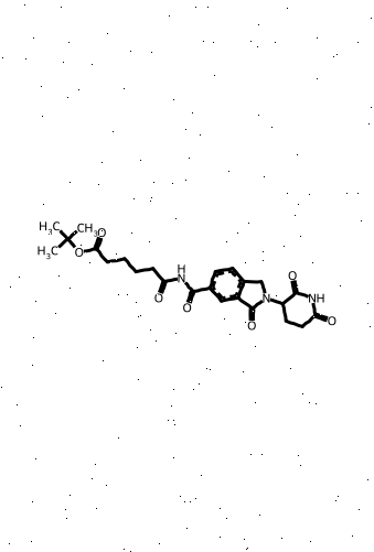 CC(C)(C)OC(=O)CCCCC(=O)NC(=O)c1ccc2c(c1)C(=O)N(C1CCC(=O)NC1=O)C2